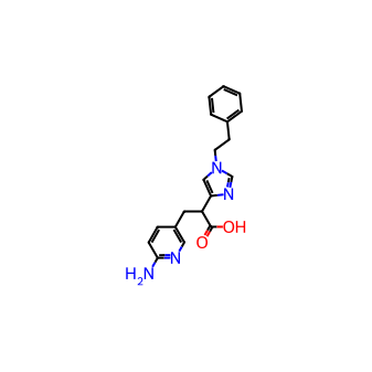 Nc1ccc(CC(C(=O)O)c2cn(CCc3ccccc3)cn2)cn1